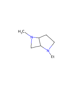 CCN1CCC2C1CN2C